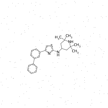 CC1(C)CC(Nc2nc(-c3cccc(-c4ccccc4)c3)cs2)CC(C)(C)N1